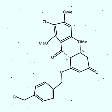 COc1cc(OC)c(C(=O)[C@H]2C(OCc3ccc(CBr)cc3)=CC(=O)C[C@H]2C)c(OC)c1Cl